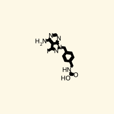 Nc1ncnc2c1c(I)nn2Cc1ccc(CNC(=O)O)cc1